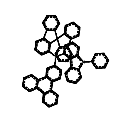 c1ccc(-n2c3ccccc3c3c(N(c4ccc5c6ccccc6c6ccccc6c5c4)c4cccc5c4C4(c6ccccc6-c6ccccc64)c4ccccc4-5)cccc32)cc1